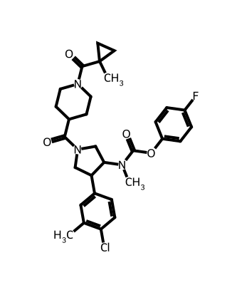 Cc1cc(C2CN(C(=O)C3CCN(C(=O)C4(C)CC4)CC3)CC2N(C)C(=O)Oc2ccc(F)cc2)ccc1Cl